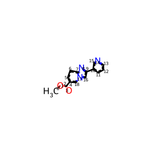 COC(=O)c1ccc2nc(-c3cccnc3)cn2c1